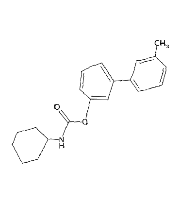 Cc1cccc(-c2cccc(OC(=O)NC3CCCCC3)c2)c1